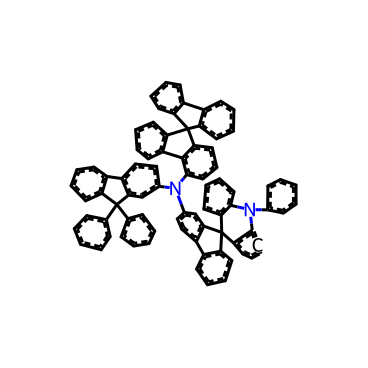 c1ccc(N2c3ccccc3C3(c4ccccc4-c4ccc(N(c5ccc6c(c5)C(c5ccccc5)(c5ccccc5)c5ccccc5-6)c5cccc6c5-c5ccccc5C65c6ccccc6-c6ccccc65)cc43)c3ccccc32)cc1